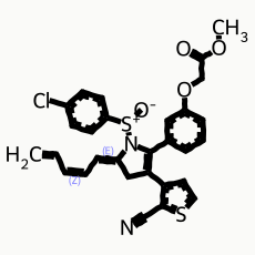 C=C/C=C\C=C1/CC(c2ccsc2C#N)=C(c2cccc(OCC(=O)OC)c2)N1[S+]([O-])c1ccc(Cl)cc1